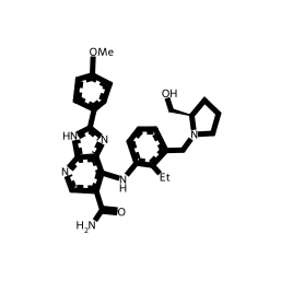 CCc1c(CN2CCC[C@@H]2CO)cccc1Nc1c(C(N)=O)cnc2[nH]c(-c3ccc(OC)cc3)nc12